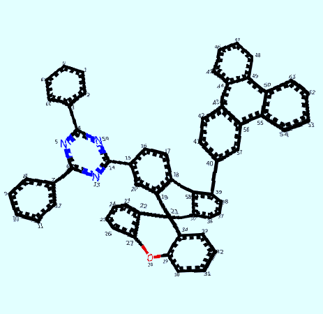 c1ccc(-c2nc(-c3ccccc3)nc(-c3ccc4c(c3)C3(c5ccccc5Oc5ccccc53)c3cccc(-c5ccc6c7ccccc7c7ccccc7c6c5)c3-4)n2)cc1